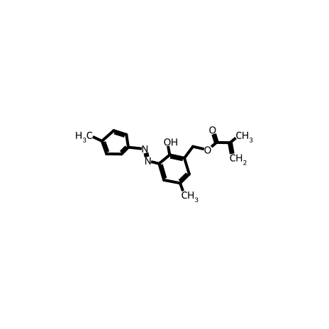 C=C(C)C(=O)OCc1cc(C)cc(N=Nc2ccc(C)cc2)c1O